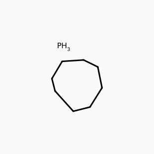 C1CCCCCCC1.P